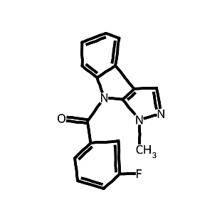 Cn1ncc2c3ccccc3n(C(=O)c3cccc(F)c3)c21